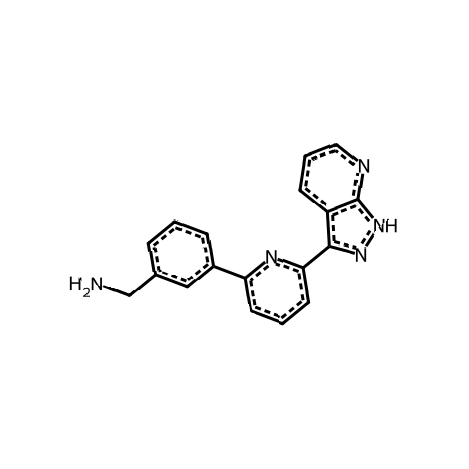 NCc1cccc(-c2cccc(-c3n[nH]c4ncccc34)n2)c1